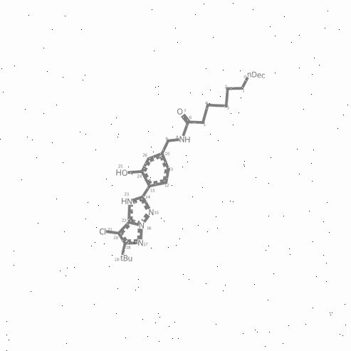 CCCCCCCCCCCCCCCC(=O)NCc1ccc(-c2nn3nc(C(C)(C)C)c(Cl)c3[nH]2)c(O)c1